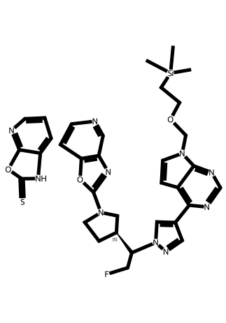 C[Si](C)(C)CCOCn1ccc2c(-c3cnn(C(CF)[C@H]4CCN(c5nc6cnccc6o5)C4)c3)ncnc21.S=c1[nH]c2cccnc2o1